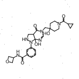 O=C(NC1COC1)c1cccc(N2NCC3C(=O)N(CC4(O)CCN(C(=O)C5CC5)CC4)C=NC32O)c1